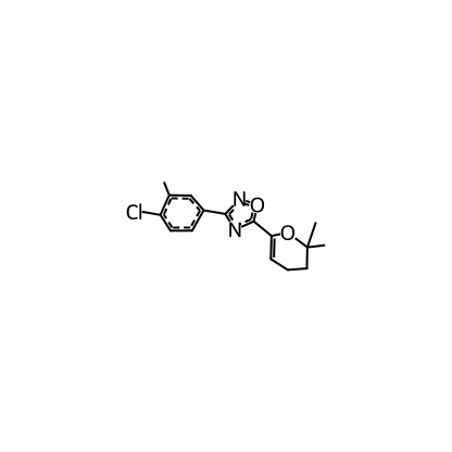 Cc1cc(-c2noc(C3=CCCC(C)(C)O3)n2)ccc1Cl